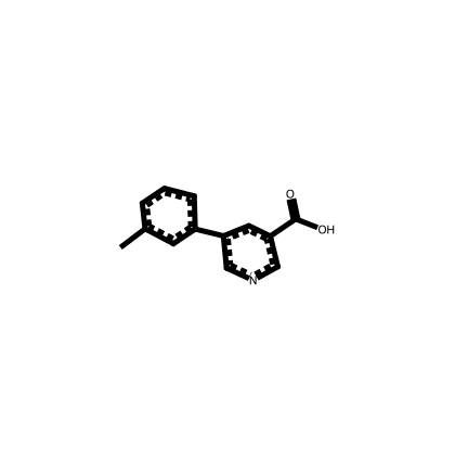 Cc1cccc(-c2cncc(C(=O)O)c2)c1